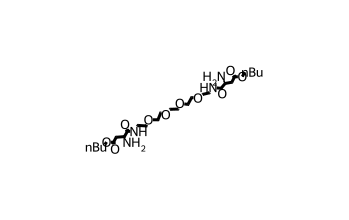 CCCCOC(=O)C[C@H](N)C(=O)NCCOCCOCCOCCOCCNC(=O)[C@@H](N)CC(=O)OCCCC